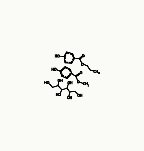 CCCOC(=O)c1ccc(O)cc1.COC(=O)c1ccc(O)cc1.OCC(O)C(O)C(O)C(O)CO